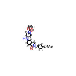 COc1ccc(Cn2ccc3cc(NC4CCN(C(=O)OC(C)(C)C)CC4)ccc3c2=O)cc1